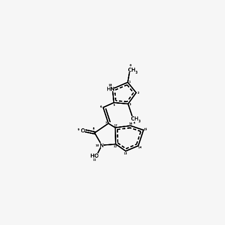 Cc1cc(C)c(C=C2C(=O)N(O)c3ccccc32)[nH]1